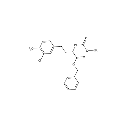 CC(C)(C)OC(=O)NC(CCc1ccc(C(F)(F)F)c(Cl)c1)C(=O)OCc1ccccc1